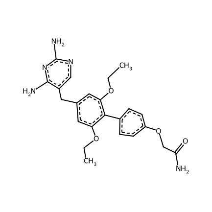 CCOc1cc(Cc2cnc(N)nc2N)cc(OCC)c1-c1ccc(OCC(N)=O)cc1